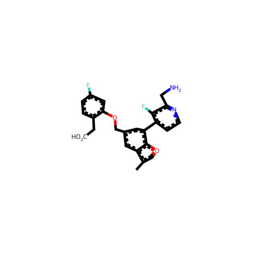 Cc1coc2c(-c3ccnc(CN)c3F)cc(COc3cc(F)ccc3CC(=O)O)cc12